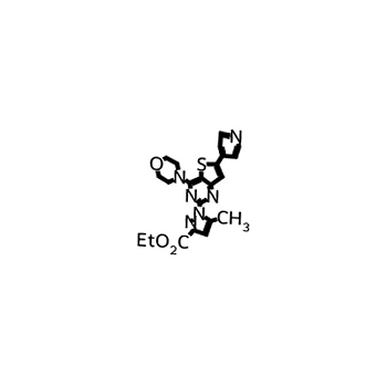 CCOC(=O)c1cc(C)n(-c2nc(N3CCOCC3)c3sc(-c4ccncc4)cc3n2)n1